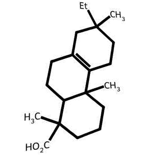 CCC1(C)CCC2=C(CCC3C(C)(C(=O)O)CCCC23C)C1